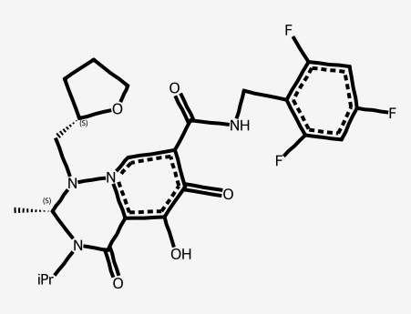 CC(C)N1C(=O)c2c(O)c(=O)c(C(=O)NCc3c(F)cc(F)cc3F)cn2N(C[C@@H]2CCCO2)[C@H]1C